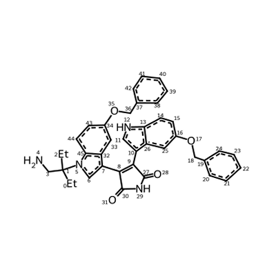 CCC(CC)(CN)n1cc(C2=C(c3c[nH]c4ccc(OCc5ccccc5)cc34)C(=O)NC2=O)c2cc(OCc3ccccc3)ccc21